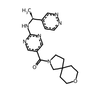 C[C@H](Nc1ncc(C(=O)N2CCC3(CCOCC3)C2)cn1)c1ccnnc1